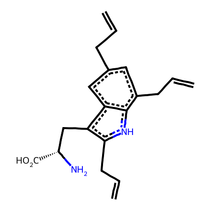 C=CCc1cc(CC=C)c2[nH]c(CC=C)c(C[C@H](N)C(=O)O)c2c1